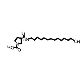 CCCCCCCCCCCCCCNC(=O)[C@@H]1CCN(C(=O)O)C1